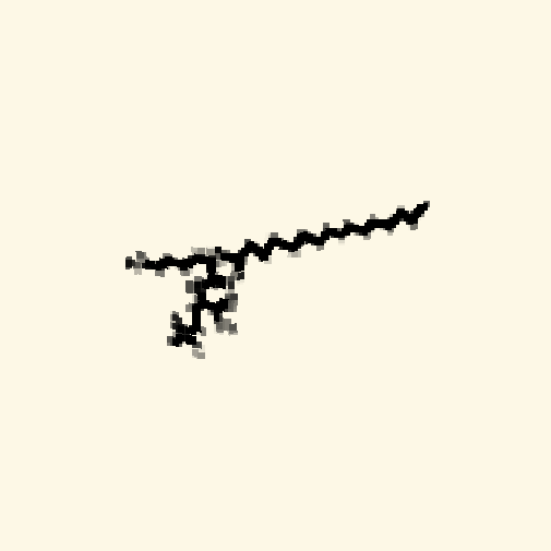 CCCCCCCCCCCCCCCC(=O)NC(CCCCN)C(=O)NC(CCS(C)(=O)=O)C(N)=O